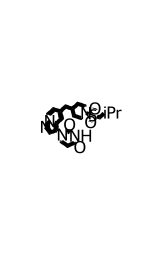 CC(C)CS(=O)(=O)N1CCC(Cc2ccn3ncc(N4CCC(=O)NC4=O)c3c2)CC1